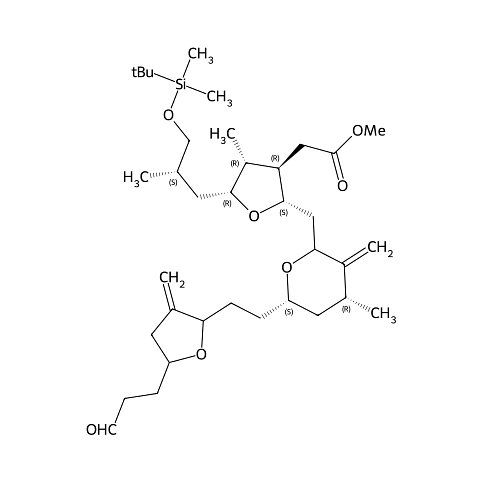 C=C1CC(CCC=O)OC1CC[C@H]1C[C@@H](C)C(=C)C(C[C@@H]2O[C@H](C[C@H](C)CO[Si](C)(C)C(C)(C)C)[C@H](C)[C@H]2CC(=O)OC)O1